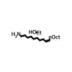 CCCCCCCC/C=C\CCCCCCCCN.CCO